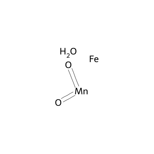 O.[Fe].[O]=[Mn]=[O]